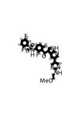 COCCNc1ncc(-c2cnc3[nH]cc(C(=O)c4c(F)ccc(NS(=O)(=O)c5cc(F)ccc5F)c4F)c3c2)cn1